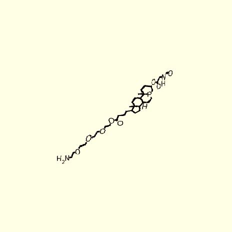 CC12CCC3[C@@H](CCP4C[C@H](OC(=O)CNC=O)CCC34C)C1CCC2CCCC(=O)OCCOCCOCCOCCN